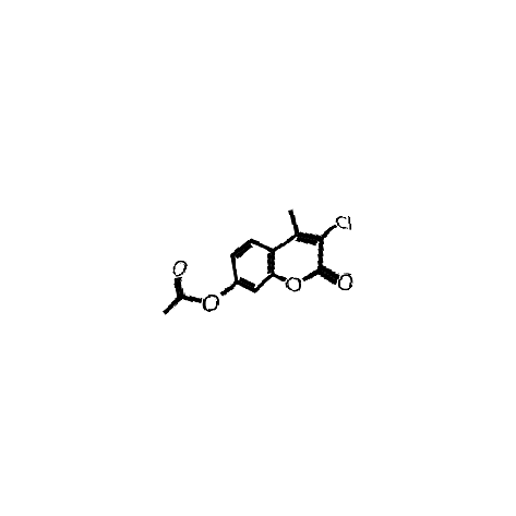 CC(=O)Oc1ccc2c(C)c(Cl)c(=O)oc2c1